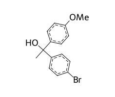 COc1ccc(C(C)(O)c2ccc(Br)cc2)cc1